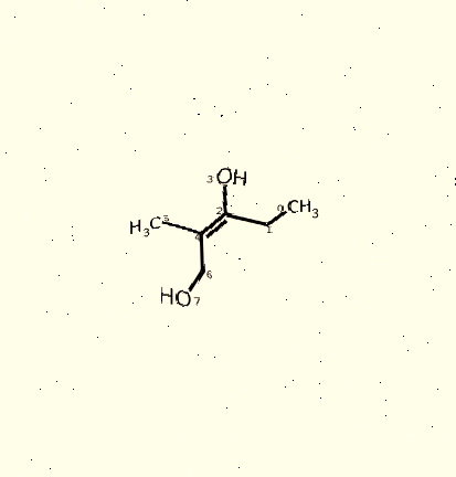 CCC(O)=C(C)CO